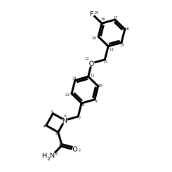 NC(=O)C1CCN1Cc1ccc(OCc2cccc(F)c2)cc1